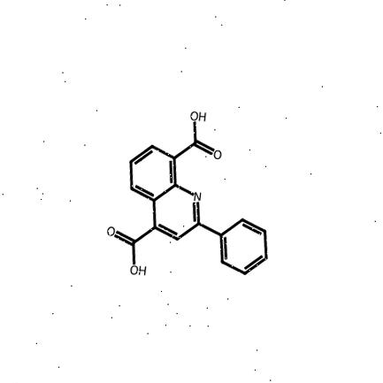 O=C(O)c1cc(-c2ccccc2)nc2c(C(=O)O)cccc12